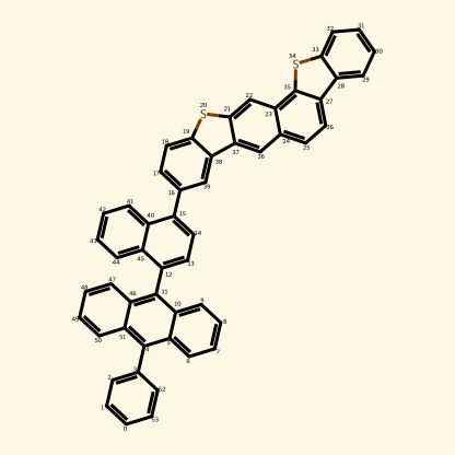 c1ccc(-c2c3ccccc3c(-c3ccc(-c4ccc5sc6cc7c(ccc8c9ccccc9sc78)cc6c5c4)c4ccccc34)c3ccccc23)cc1